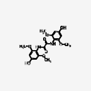 COc1cc(O)cc(OC)c1NC(=O)C(=O)Nc1c(OC)cc(O)cc1OC